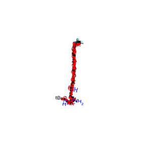 CCCN(CCCNC(=O)CC(C)(C)C)C(=O)C1=Cc2sc(CCCCCNC(=O)CCOCCOCCOCCOCCOCCOCCOCCOCCOCCOCCC(=O)Oc3c(F)c(F)cc(F)c3F)cc2N=C(N)C1